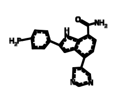 NC(=O)c1ccc(-c2cncnc2)c2cc(-c3ccc(P)cc3)[nH]c12